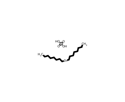 CCCCCCC[CH2][Zn][CH2]CCCCCCC.O=S(=O)(O)O